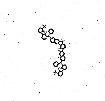 CC(C)(C)c1cccc2c1oc1c(N(c3ccccc3)c3ccc4cc5c(cc4c3)C(C)(C)c3ccc4c(oc6cc7cc(N(c8ccccc8)c8cccc9c8oc8c(C(C)(C)C)cccc89)ccc7cc64)c3-5)cccc12